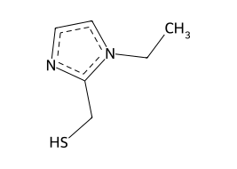 CCn1ccnc1CS